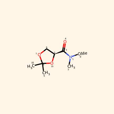 CON(C)C(=O)[C@@H]1COC(C)(C)O1